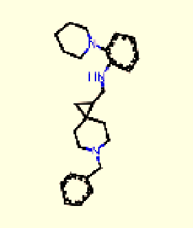 c1ccc(CN2CCC3(CC2)CC3CNc2ccccc2N2CCCCC2)cc1